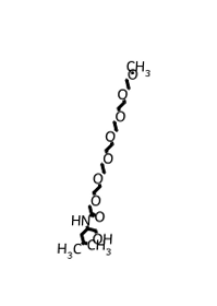 COCCOCCOCCOCCOCCOCCOCC(=O)NC(CO)CC(C)C